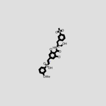 COc1cccc(P(=O)(O)/C=C/c2cc(Cl)c(C(=O)N[C@H](CO)Cc3cccc(S(C)(=O)=O)c3)c(Cl)c2)c1